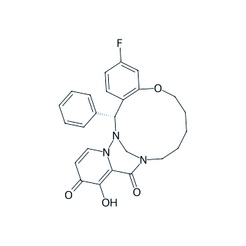 O=C1c2c(O)c(=O)ccn2N2CN1CCCCCOc1cc(F)ccc1[C@H]2c1ccccc1